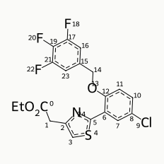 CCOC(=O)Cc1csc(-c2cc(Cl)ccc2OCc2cc(F)c(F)c(F)c2)n1